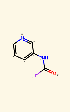 O=C(I)Nc1cccnc1